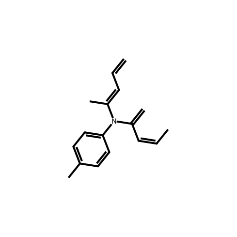 C=C/C=C(\C)N(C(=C)/C=C\C)c1ccc(C)cc1